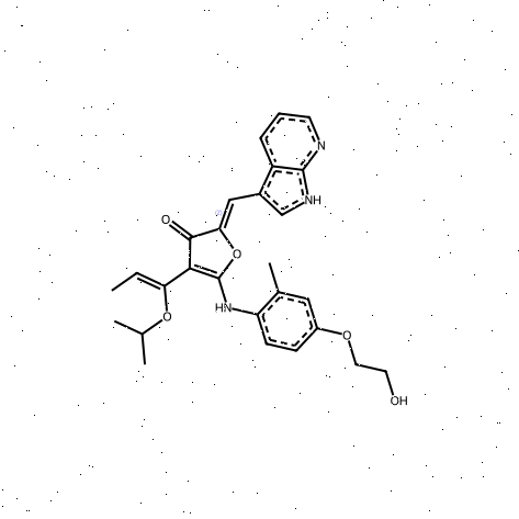 CC=C(OC(C)C)C1=C(Nc2ccc(OCCO)cc2C)O/C(=C\c2c[nH]c3ncccc23)C1=O